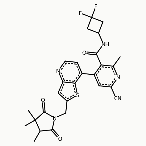 Cc1nc(C#N)cc(-c2ccnc3cc(CN4C(=O)C(C)C(C)(C)C4=O)sc23)c1C(=O)NC1CC(F)(F)C1